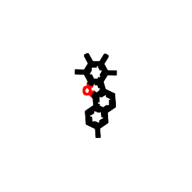 Cc1ccc2c(ccc3c2oc2c(C)c(C)c(C)c(C)c23)c1